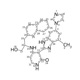 Cc1cc(-n2ccnc2)cc2[nH]c(-c3c(NC(CO)Cc4ccc5ccccc5c4)cc[nH]c3=O)nc12